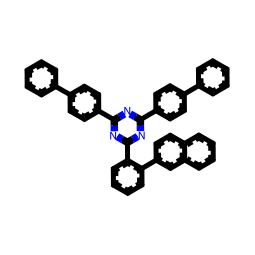 c1ccc(-c2ccc(-c3nc(-c4ccc(-c5ccccc5)cc4)nc(-c4ccccc4-c4ccc5ccccc5c4)n3)cc2)cc1